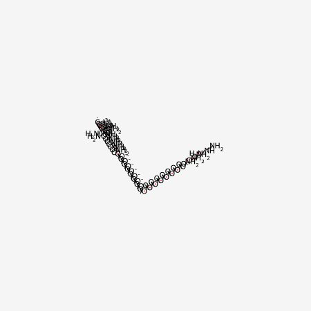 CC(=O)[O-].CC(=O)[O-].CC(=O)[O-].CC(=O)[O-].CC(=O)[O-].CC(=O)[O-].CC(=O)[O-].CC(=O)[O-].CC(=O)[O-].CC(=O)[O-].CC(=O)[O-].CC(=O)[O-].CC(=O)[O-].CC(=O)[O-].CC(=O)[O-].NC=O.NC=O.NC=O.NC=O.NC=O.NC=O.NC=O.NC=O.NC=O.NC=O.NCCNCCN.NCCNCCN.NCCNCCN.[Gd+3].[Gd+3].[Gd+3].[Gd+3].[Gd+3]